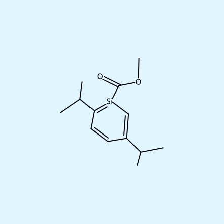 COC(=O)[si]1cc(C(C)C)ccc1C(C)C